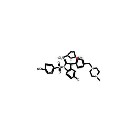 COc1cc(CN2CCN(C)CC2)ccc1[C@]1(N2CCCC2C(=O)O)C(=O)N(S(=O)(=O)c2ccc(C#N)cc2)c2ccc(Cl)cc21